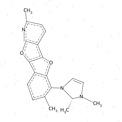 Cc1ccc2c(n1)oc1c3ccc(C)c(N4C=CN(C)[C@@H]4C)c3oc21